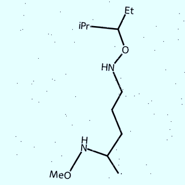 [CH2]C(CCCNOC(CC)C(C)C)NOC